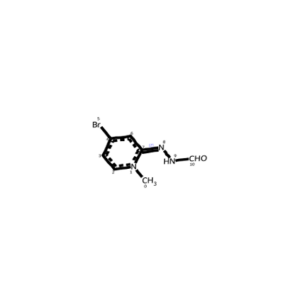 Cn1ccc(Br)c/c1=N/NC=O